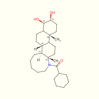 C[C@]12CC[C@H](O)[C@H](O)C1CC[C@@H]1C2CC[C@@]2(C)[C@H]1CCCCCN2C(=O)C1CCCCC1